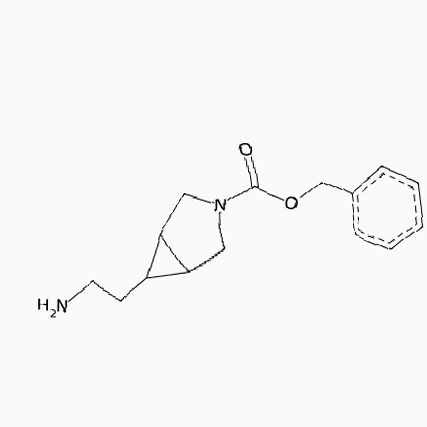 NCCC1C2CN(C(=O)OCc3ccccc3)CC12